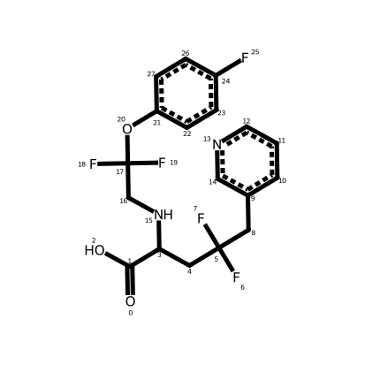 O=C(O)C(CC(F)(F)Cc1cccnc1)NCC(F)(F)Oc1ccc(F)cc1